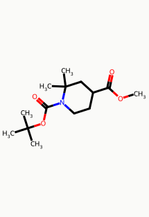 COC(=O)C1CCN(C(=O)OC(C)(C)C)C(C)(C)C1